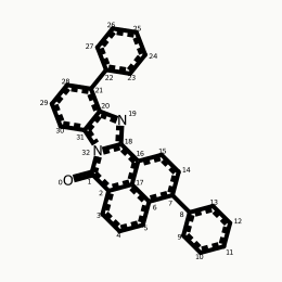 O=c1c2cccc3c(-c4ccccc4)ccc(c32)c2nc3c(-c4ccccc4)cccc3n12